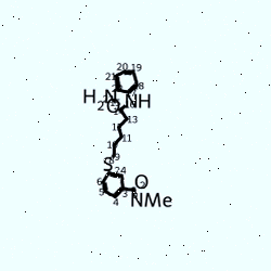 CNC(=O)c1cccc(SCCCCCC(=O)Nc2ccccc2N)c1